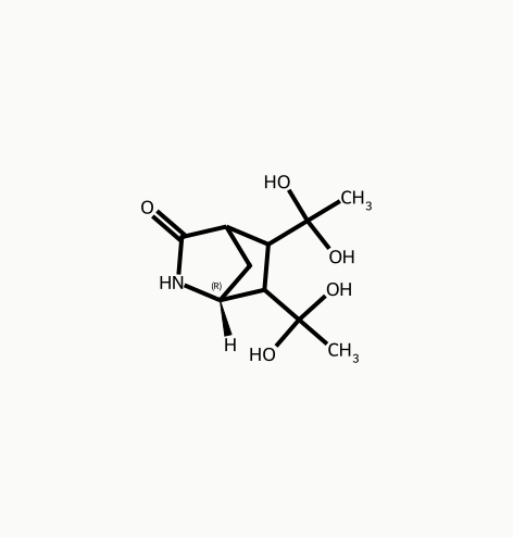 CC(O)(O)C1C2C[C@@H](NC2=O)C1C(C)(O)O